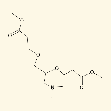 COC(=O)CCOCC(CN(C)C)OCCC(=O)OC